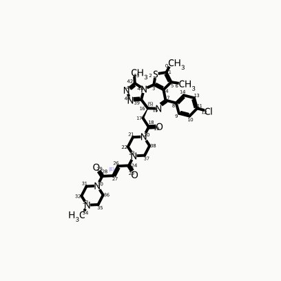 Cc1sc2c(c1C)C(c1ccc(Cl)cc1)=N[C@@H](CC(=O)N1CCN(C(=O)/C=C/C(=O)N3CCN(C)CC3)CC1)c1nnc(C)n1-2